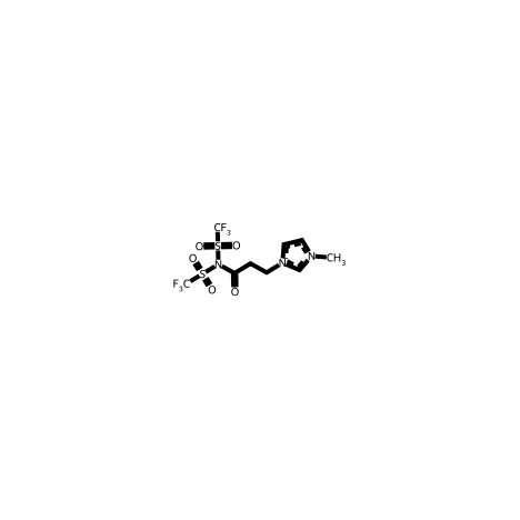 Cn1cc[n+](CCC(=O)N(S(=O)(=O)C(F)(F)F)S(=O)(=O)C(F)(F)F)c1